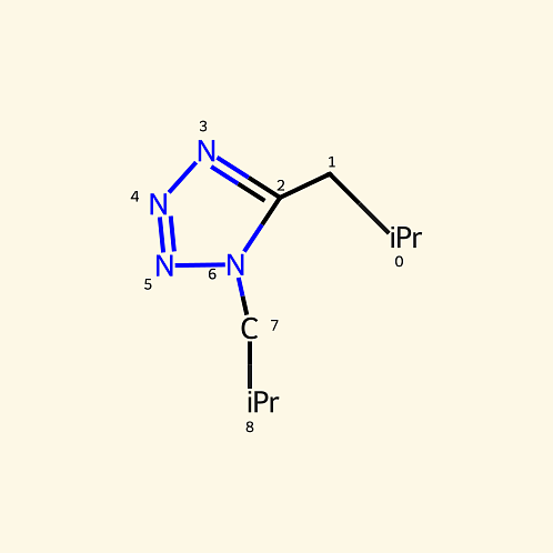 CC(C)Cc1nnnn1CC(C)C